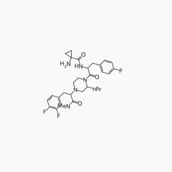 CCCC1CN(C(Cc2ccc(F)c(F)c2)C(=O)NC)CCN1C(=O)C(Cc1ccc(F)cc1)NC(=O)C1(N)CC1